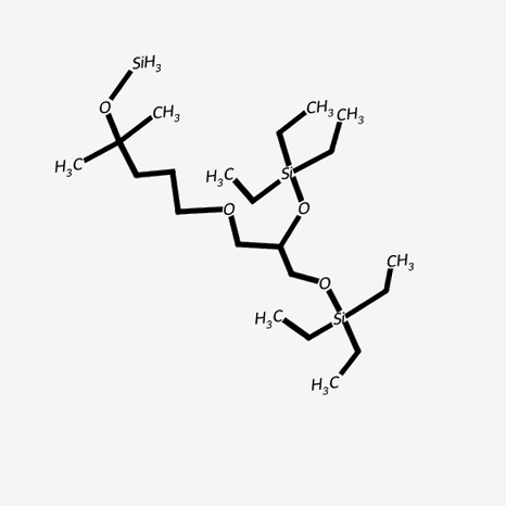 CC[Si](CC)(CC)OCC(COCCCC(C)(C)O[SiH3])O[Si](CC)(CC)CC